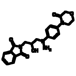 NN(CC(O)CN1C(=O)c2ccccc2C1=O)c1ccc(N2CCOCC2=O)cc1